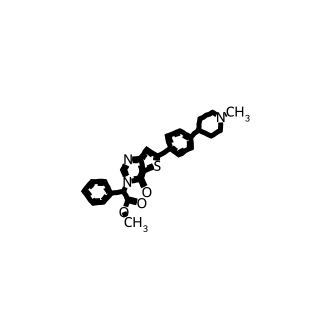 COC(=O)C(c1ccccc1)n1cnc2cc(-c3ccc(C4CCN(C)CC4)cc3)sc2c1=O